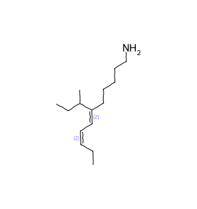 CC/C=C\C=C(\CCCCCN)C(C)CC